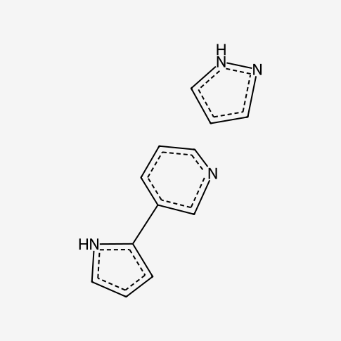 c1cn[nH]c1.c1cncc(-c2ccc[nH]2)c1